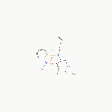 C=CCON(C1C=C(C)C(CO)NC1)S(=O)(=O)c1ccccc1[N+](=O)[O-]